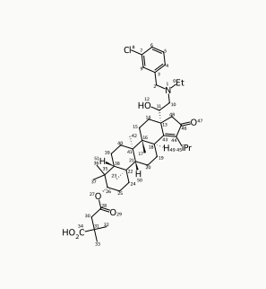 CCN(Cc1cccc(Cl)c1)CC(O)[C@@]12CC[C@]3(C)[C@H](CC[C@@H]4[C@@]5(C)CC[C@H](OC(=O)CC(C)(C)C(=O)O)C(C)(C)[C@@H]5CC[C@]43C)C1=C(C(C)C)C(=O)C2